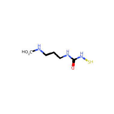 O=C(O)NCCCNC(=O)NS